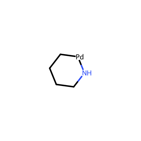 C1C[CH2][Pd][NH]C1